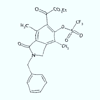 CCOC(=O)C(=O)c1c(C)c2c(c(C)c1OS(=O)(=O)C(F)(F)F)CN(Cc1ccccc1)C2=O